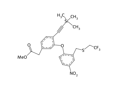 COC(=O)Cc1ccc(C#C[Si](C)(C)C)c(Oc2ccc([N+](=O)[O-])cc2CSCC(F)(F)F)c1